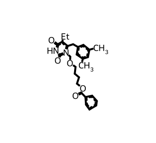 CCc1c(Cc2cc(C)cc(C)c2)n(COCCCCOC(=O)c2ccccc2)c(=O)[nH]c1=O